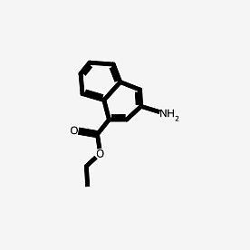 CCOC(=O)c1cc(N)cc2ccccc12